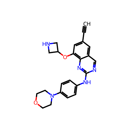 C#Cc1cc(OC2CNC2)c2nc(Nc3ccc(N4CCOCC4)cc3)ncc2c1